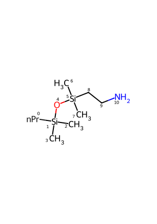 CCC[Si](C)(C)O[Si](C)(C)CCN